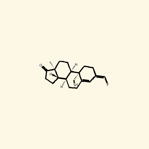 C[C@]12CC[C@@H]3[C@@H](CCC4=CC(=CF)CC[C@@]43CS)[C@@H]1CCC2=O